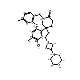 O=C1CCC(CCN2CC(N3CCOCC3)C2)(c2ccc(Cl)c(Cl)c2)CN1Cc1ccc(Cl)cc1Cl